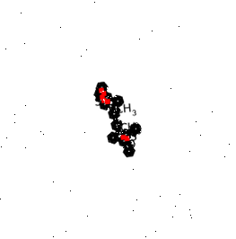 Cc1cc(-c2ccc(N(c3ccc4sc5ccccc5c4c3)c3ccccc3-c3ccc4oc5ccccc5c4c3)c(C)c2)ccc1N(c1ccc2sc3ccccc3c2c1)c1ccccc1-c1ccc2oc3ccccc3c2c1